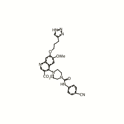 CCOC(=O)c1cnc2cc(OCCCc3c[nH]nn3)c(OC)cc2c1N1CCN(C(=O)Nc2ccc(C#N)cc2)CC1